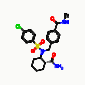 CCNC(=O)c1ccc(CN([C@@H]2CCCC[C@H]2C(N)=O)S(=O)(=O)c2ccc(Cl)cc2)cc1